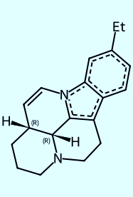 CCc1ccc2c3c4n(c2c1)C=C[C@H]1CCCN(CC3)[C@@H]41